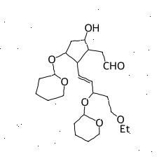 CCOCCC(C=CC1C(OC2CCCCO2)CC(O)C1CC=O)OC1CCCCO1